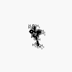 CC(C)(C)OC(=O)CCNC(=O)C(=O)C(CC(F)(F)F)NC(=O)[C@@H]1[C@@H]2[C@H](CN1C(=O)[C@@H](NC(=O)OC(C)(C)C)C1CCCCC1)C2(C)C